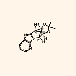 CC1(C)O[C@@H]2[C@H](O1)[C@@H]1C[C@H]2n2c1nc1cccnc12